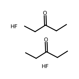 CCC(=O)CC.CCC(=O)CC.F.F